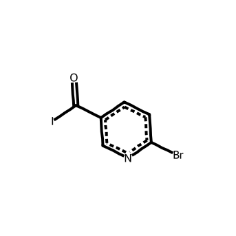 O=C(I)c1ccc(Br)nc1